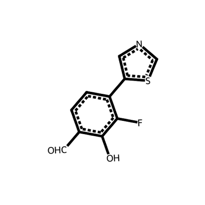 O=Cc1ccc(-c2cncs2)c(F)c1O